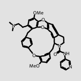 COc1ccc2cc1Oc1ccc(cc1)Cc1c(CCN(C)C)cc(OC)c3c1Oc1cc4c(cc1O3)CCN(C(=O)Nc1cccnc1)C4C2